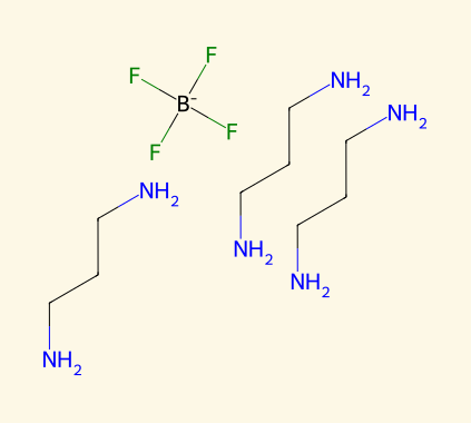 F[B-](F)(F)F.NCCCN.NCCCN.NCCCN